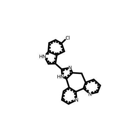 Clc1ccc2[nH]cc(-c3nc4c([nH]3)-c3cccnc3-c3ncccc3C4)c2c1